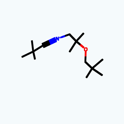 CC(C)(C)C#[N+]CC(C)(C)OCC(C)(C)C